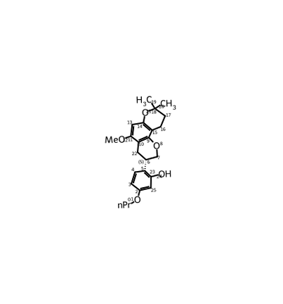 CCCOc1ccc([C@H]2COc3c(c(OC)cc4c3CCC(C)(C)O4)C2)c(O)c1